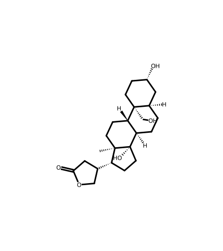 C[C@]12CC[C@H]3[C@@H](CC[C@@H]4C[C@@H](O)CC[C@@]43CO)[C@@]1(O)CC[C@@H]2C1COC(=O)C1